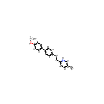 CCCCCCCCOc1ccc(-c2ccc(CCc3ccc(CC)cn3)cc2)cc1